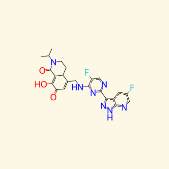 CC(C)N1CCC2C(CNc3nc(-c4n[nH]c5ncc(F)cc45)ncc3F)=CC(=O)C(O)=C2C1=O